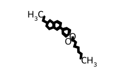 CCCCCCCC(=O)Oc1ccc(-c2ccc3c(c2)CCC(CCC)C3)cc1